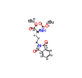 CC(C)(C)OC(=O)N[C@H](CCCN1C(=O)c2ccccc2C1=O)C(=O)OC(C)(C)C